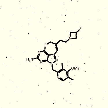 COc1c(C)cnc(Cn2nc3c4c(nc(N)nc42)SCC(CCN2CC(F)C2)=C3)c1C